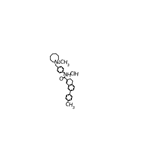 CC[N+]1(Cc2ccc(NC(=O)C3=Cc4cc(-c5ccc(C)cc5)ccc4CC3)cc2)CCCCCCC1.Cl